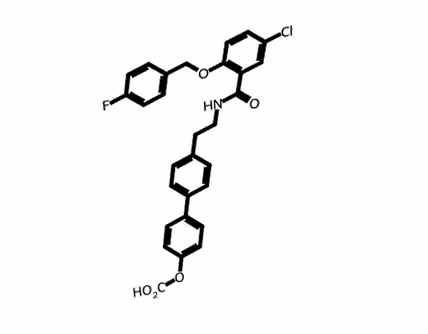 O=C(O)Oc1ccc(-c2ccc(CCNC(=O)c3cc(Cl)ccc3OCc3ccc(F)cc3)cc2)cc1